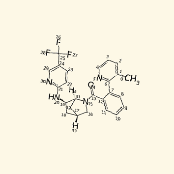 Cc1cccnc1-c1ccccc1C(=O)N1C[C@@H]2C[C@@H](Nc3ccc(C(F)(F)F)cn3)[C@@H]1C2